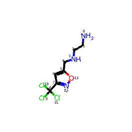 NCCNCc1cc(C(Cl)(Cl)Cl)no1